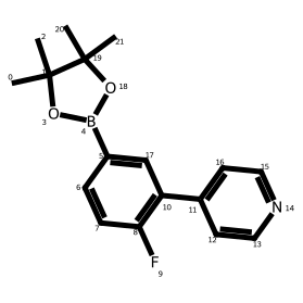 CC1(C)OB(c2ccc(F)c(-c3ccncc3)c2)OC1(C)C